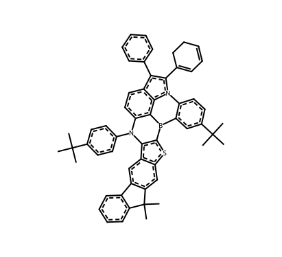 CC(C)(C)c1ccc(N2c3ccc4c(-c5ccccc5)c(C5=CC=CCC5)n5c4c3B(c3cc(C(C)(C)C)ccc3-5)c3sc4cc5c(cc4c32)-c2ccccc2C5(C)C)cc1